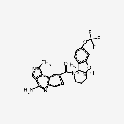 Cc1ncc2c(N)nc3ccc(C(=O)N4CCC[C@@H]5Oc6cc(OC(F)(F)F)ccc6[C@@H]54)cc3n12